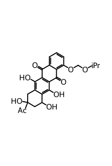 CC(=O)C1(O)Cc2c(O)c3c(c(O)c2C(O)C1)C(=O)c1c(OCOC(C)C)cccc1C3=O